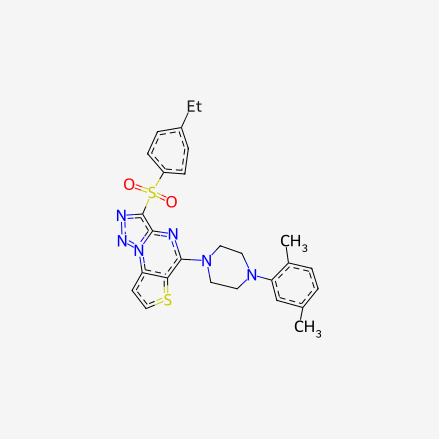 CCc1ccc(S(=O)(=O)c2nnn3c2nc(N2CCN(c4cc(C)ccc4C)CC2)c2sccc23)cc1